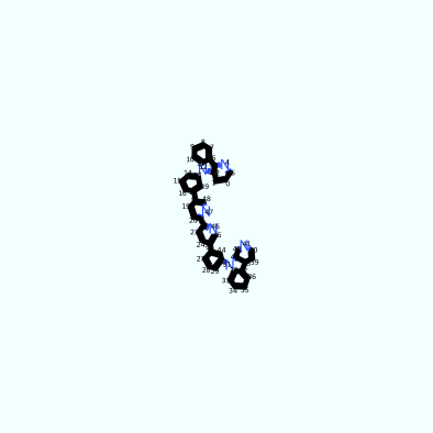 C1=CC2C(N=C1)c1ccccc1N2c1cccc(-c2ccc(-c3ccc(-c4cccc(N5c6ccccc6C6C=CN=CC65)c4)cn3)nc2)c1